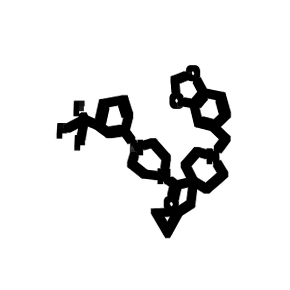 O=C(N1CCN(c2cccc(C(F)(F)F)c2)CC1)C1(CC2CC2)CCN(Cc2ccc3c(c2)OCO3)CC1